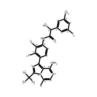 [2H]C([2H])([2H])c1nc(-c2ccc(NC(=O)C(O)c3cc(F)cc(C(F)(F)F)c3)c(F)c2F)c2c(N)ncc(C)n12